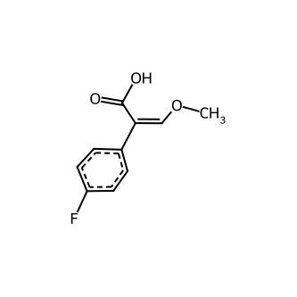 COC=C(C(=O)O)c1ccc(F)cc1